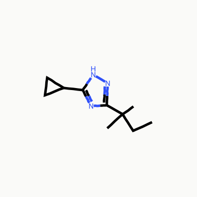 CCC(C)(C)c1n[nH]c(C2CC2)n1